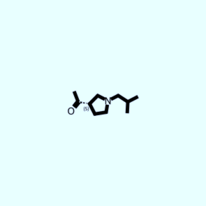 CC(=O)[C@H]1CCN(CC(C)C)C1